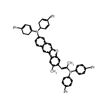 C/C(=C\c1cc2oc3cc4cc(N(C5=CC=C(C(C)C)CC5)C5C=CC(C(C)C)=CC5)ccc4cc3c2cc1C)N(c1ccc(C(C)C)cc1)c1ccc(C(C)C)cc1